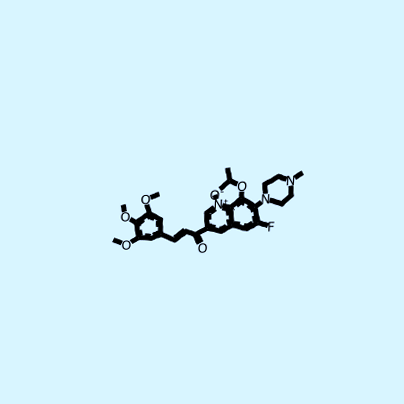 COc1cc(C=CC(=O)c2cc3cc(F)c(N4CCN(C)CC4)c(OC(C)C)c3[n+]([O-])c2)cc(OC)c1OC